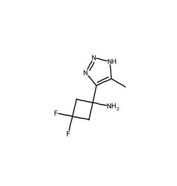 Cc1[nH]nnc1C1(N)CC(F)(F)C1